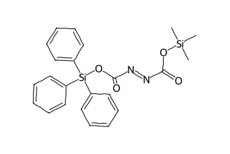 C[Si](C)(C)OC(=O)N=NC(=O)O[Si](c1ccccc1)(c1ccccc1)c1ccccc1